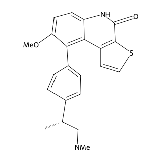 CNC[C@H](C)c1ccc(-c2c(OC)ccc3[nH]c(=O)c4sccc4c23)cc1